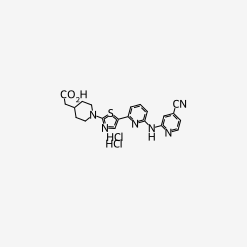 Cl.Cl.N#Cc1ccnc(Nc2cccc(-c3cnc(N4CCC(CC(=O)O)CC4)s3)n2)c1